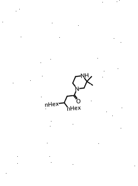 CCCCCCC(CCCCCC)CC(=O)N1CCNC(C)(C)C1